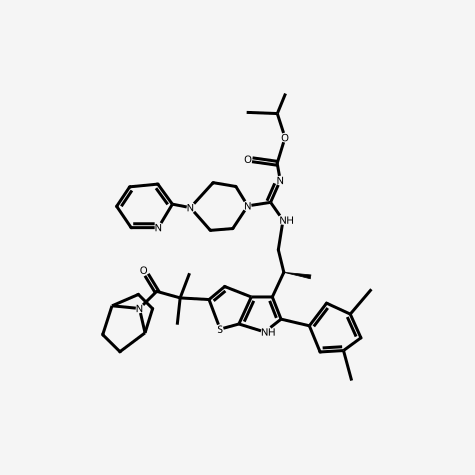 Cc1cc(C)cc(-c2[nH]c3sc(C(C)(C)C(=O)N4C5CCC4CC5)cc3c2[C@H](C)CN/C(=N/C(=O)OC(C)C)N2CCN(c3ccccn3)CC2)c1